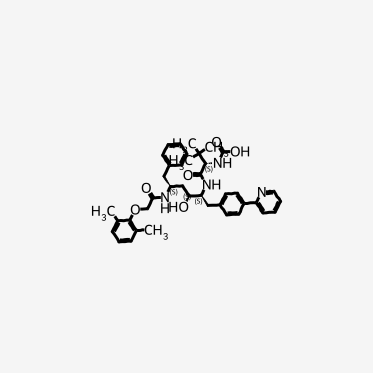 Cc1cccc(C)c1OCC(=O)N[C@@H](Cc1ccccc1)C[C@H](O)[C@H](Cc1ccc(-c2ccccn2)cc1)NC(=O)[C@@H](NC(=O)O)C(C)(C)C